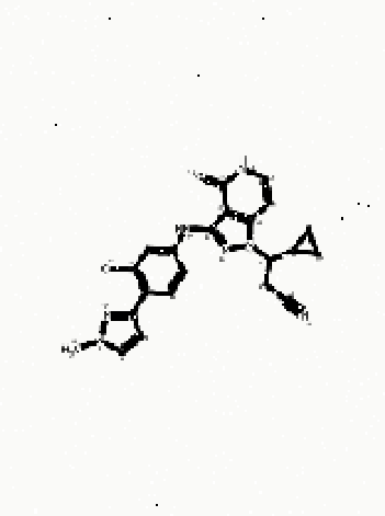 Cn1ccc(-c2ccc(Nc3nn(C(CC#N)C4CC4)c4cc[nH]c(=O)c34)cc2Cl)n1